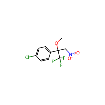 COC(C[N+](=O)[O-])(c1ccc(Cl)cc1)C(F)(F)F